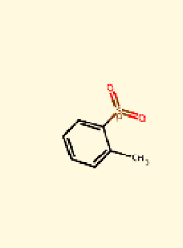 Cc1ccccc1[SH](=O)=O